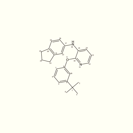 CC(C)(C)c1cccc(Oc2ncccc2Nc2ccc3c(c2)CCC3)c1